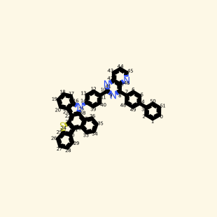 c1ccc(-c2ccc(-c3nc(-c4ccc(-n5c6ccccc6c6c7sc8ccccc8c7c7ccccc7c65)cc4)nc4cccnc34)cc2)cc1